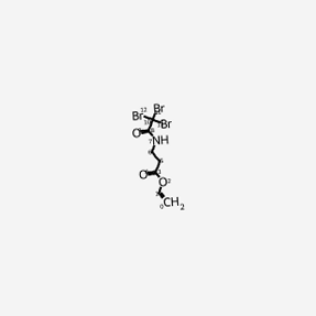 C=COC(=O)CCNC(=O)C(Br)(Br)Br